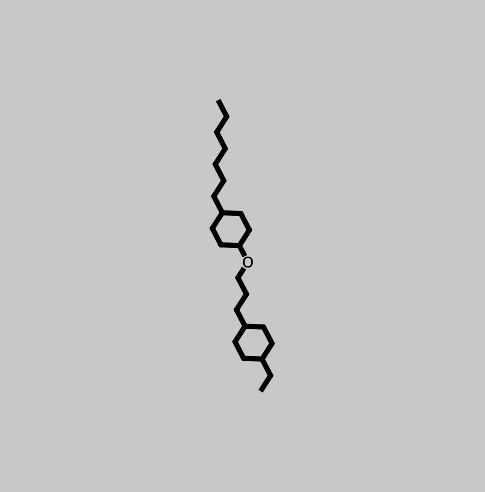 CCCCCCCC1CCC(OCCCC2CCC(CC)CC2)CC1